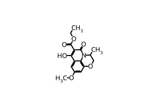 CCOC(=O)c1c(O)c2cc(OC)cc3c2n(c1=O)C(C)CO3